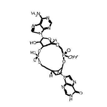 Nc1ncnc2c1ncn2[C@@H]1O[C@@H]2OCP(=O)(O)OC3C(O)[C@@H](COP(=O)(O)OC2C1O)C[C@H]3n1cnc2c(=O)[nH]cnc21